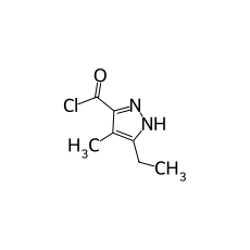 CCc1[nH]nc(C(=O)Cl)c1C